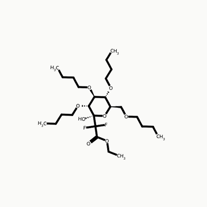 CCCCOC[C@H]1O[C@@](O)(C(F)(F)C(=O)OCC)[C@H](OCCCC)[C@@H](OCCCC)[C@@H]1OCCCC